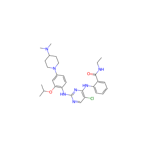 CCNC(=O)c1ccccc1Nc1nc(Nc2ccc(N3CCC(N(C)C)CC3)cc2OC(C)C)ncc1Cl